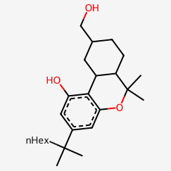 CCCCCCC(C)(C)c1cc(O)c2c(c1)OC(C)(C)C1CCC(CO)CC21